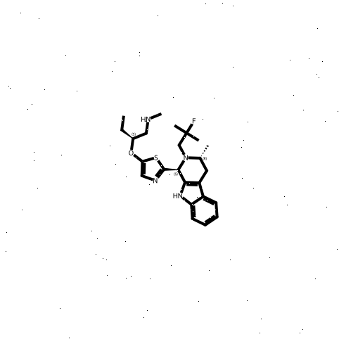 CC[C@@H](CNC)Oc1cnc([C@@H]2c3[nH]c4ccccc4c3C[C@@H](C)N2CC(C)(C)F)s1